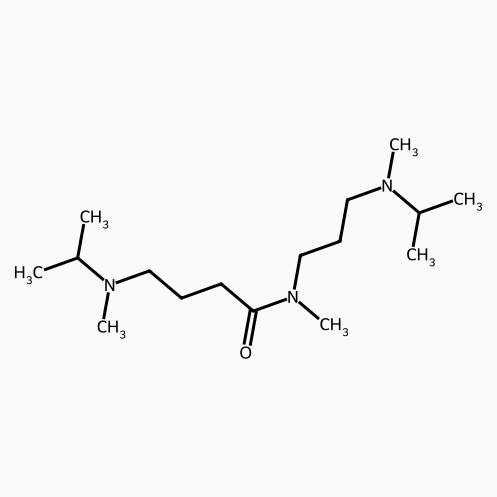 CC(C)N(C)CCCC(=O)N(C)CCCN(C)C(C)C